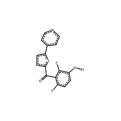 CCOc1ccc(F)c(C(=O)c2ccc(-c3ccncc3)s2)c1F